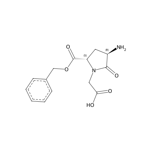 N[C@@H]1C[C@@H](C(=O)OCc2ccccc2)N(CC(=O)O)C1=O